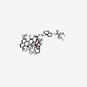 C#Cc1c(F)ccc2cc(O)cc(-c3nc(OC(C)C)c4c(N5CC6CCC(C5)N6C(=O)C(F)(F)F)nc(OC[C@]56CCCN5[C@H](COC(=O)N(C)C)CC6)nc4c3F)c12